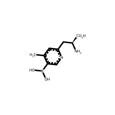 Cc1cc(C[C@H](N)C(=O)O)ncc1B(O)O